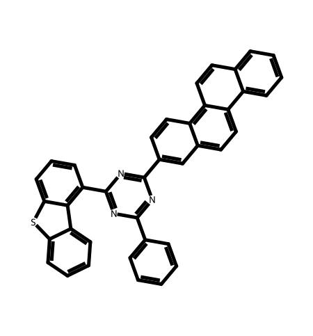 c1ccc(-c2nc(-c3ccc4c(ccc5c6ccccc6ccc45)c3)nc(-c3cccc4sc5ccccc5c34)n2)cc1